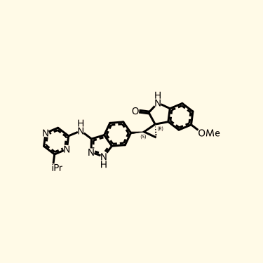 COc1ccc2c(c1)[C@]1(C[C@H]1c1ccc3c(Nc4cncc(C(C)C)n4)n[nH]c3c1)C(=O)N2